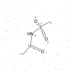 [CH2]S(=O)(=O)NC(C)=O